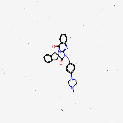 CN1CCN(c2ccc(CN3C(=O)C4(Cc5ccccc5C4)n4c3nc3ccccc3c4=O)cc2)CC1